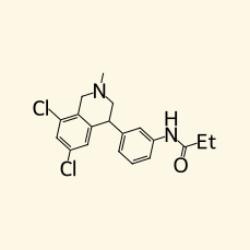 CCC(=O)Nc1cccc(C2CN(C)Cc3c(Cl)cc(Cl)cc32)c1